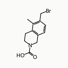 Cc1c(CBr)ccc2c1CCN(C(=O)O)C2